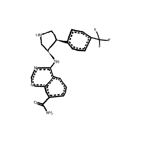 NC(=O)c1cccc2c(N[C@H]3CNC[C@H]3c3ccc(C(F)(F)F)cc3)ncnc12